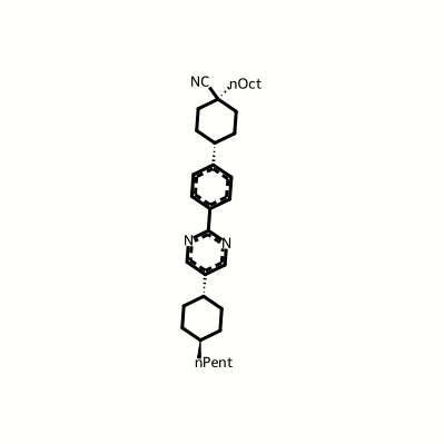 CCCCCCCC[C@]1(C#N)CC[C@H](c2ccc(-c3ncc([C@H]4CC[C@H](CCCCC)CC4)cn3)cc2)CC1